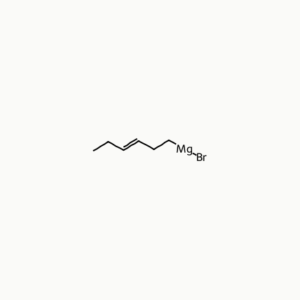 CCC=CC[CH2][Mg][Br]